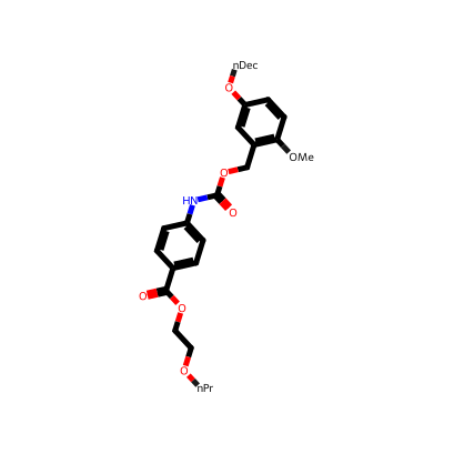 CCCCCCCCCCOc1ccc(OC)c(COC(=O)Nc2ccc(C(=O)OCCOCCC)cc2)c1